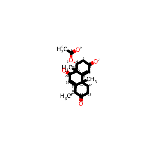 CC(=O)O[C@@H]1CC(=O)C=C2C3(C)CCC(=O)[C@H](C)C3=CC(=O)C21C